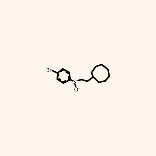 [O-][S+](CCC1CCCCCCC1)c1ccc(Br)cc1